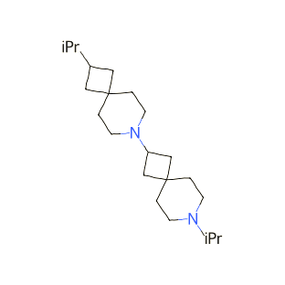 CC(C)C1CC2(CCN(C3CC4(CCN(C(C)C)CC4)C3)CC2)C1